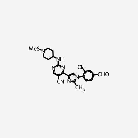 CSN1CCC(Nc2ncc(C#N)c(-c3cn(-c4ccc(C=O)cc4Cl)c(C)n3)n2)CC1